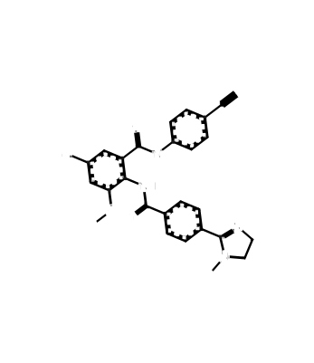 C#Cc1ccc(NC(=O)c2cc(Cl)cc(OC)c2NC(=O)c2ccc(C3=NCCN3C)cc2)cc1